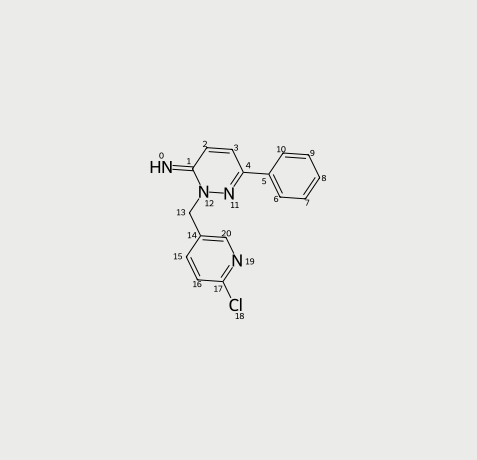 N=c1ccc(-c2ccccc2)nn1Cc1ccc(Cl)nc1